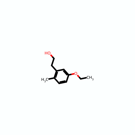 CCOc1ccc(C)c(CCO)c1